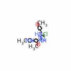 COc1ccc(CNc2nc(Nc3ccc(N4CCN(C)CC4)cc3OC)ncc2Cl)cc1